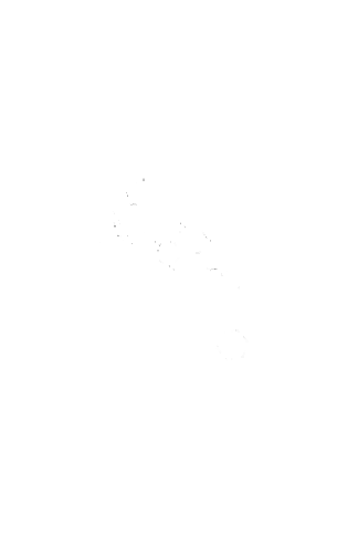 CC1(C)O[C@@H]2[C@@H](CO)OC(n3cnc4c(N[C@H]5CCC[C@@H]5OCc5ccccc5)ncnc43)[C@@H]2O1